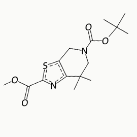 COC(=O)c1nc2c(s1)CN(C(=O)OC(C)(C)C)CC2(C)C